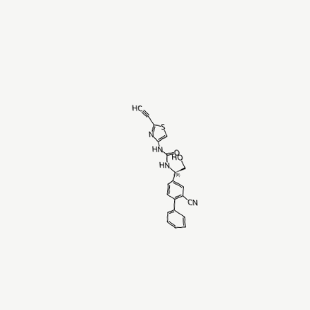 C#Cc1nc(NC(=O)N[C@@H](CO)c2ccc(-c3ccccc3)c(C#N)c2)cs1